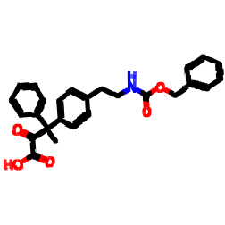 CC(C(=O)C(=O)O)(c1ccccc1)c1ccc(CCNC(=O)OCc2ccccc2)cc1